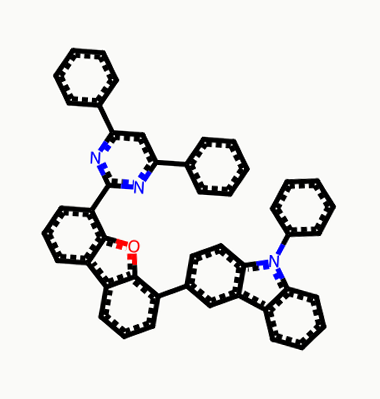 c1ccc(-c2cc(-c3ccccc3)nc(-c3cccc4c3oc3c(-c5ccc6c(c5)c5ccccc5n6-c5ccccc5)cccc34)n2)cc1